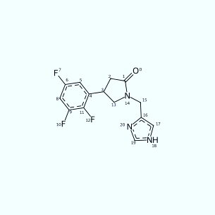 O=C1CC(c2cc(F)cc(F)c2F)CN1Cc1c[nH]cn1